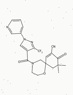 CC1(C)CC2(C=C(C#N)C1=O)CN(C(=O)c1cn(-c3cccnc3)nc1C(F)(F)F)CCO2